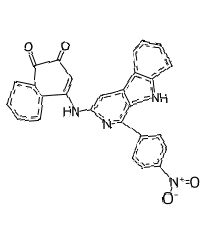 O=C1C=C(Nc2cc3c([nH]c4ccccc43)c(-c3ccc([N+](=O)[O-])cc3)n2)c2ccccc2C1=O